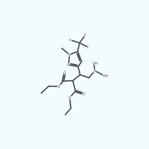 CCOC(=O)C(C(=O)OCC)C(CN(O)O)c1cc(C(F)(F)F)n(C)n1